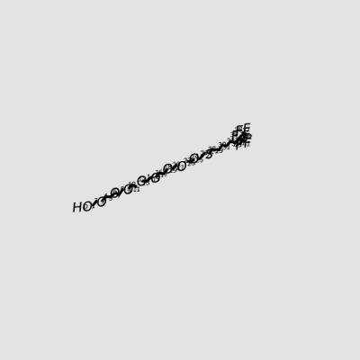 OCCOCCOCCOCCOCCOCCOCCOCCOCCSCCCCCCC(F)(C(F)(F)F)C(F)(F)F